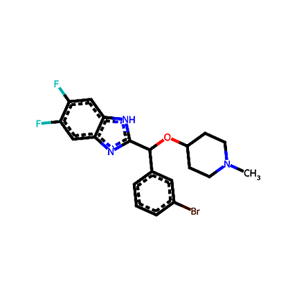 CN1CCC(OC(c2cccc(Br)c2)c2nc3cc(F)c(F)cc3[nH]2)CC1